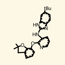 CC1(C)Cc2cccc(Oc3ncccc3Nc3nc4ccc(C(C)(C)C)cc4[nH]3)c2O1